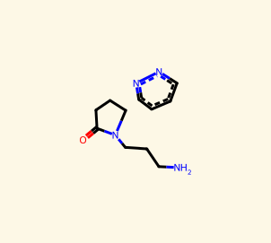 NCCCN1CCCC1=O.c1ccnnc1